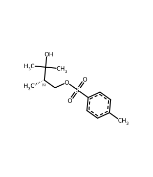 Cc1ccc(S(=O)(=O)OC[C@H](C)C(C)(C)O)cc1